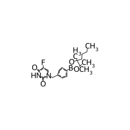 CCCCC1(C)OB(c2ccc(Cn3cc(F)c(=O)[nH]c3=O)cc2)OC1(C)C